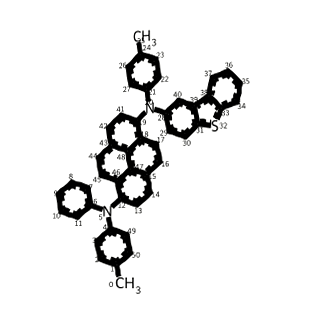 Cc1ccc(N(c2ccccc2)c2ccc3ccc4c(N(c5ccc(C)cc5)c5ccc6sc7ccccc7c6c5)ccc5ccc2c3c54)cc1